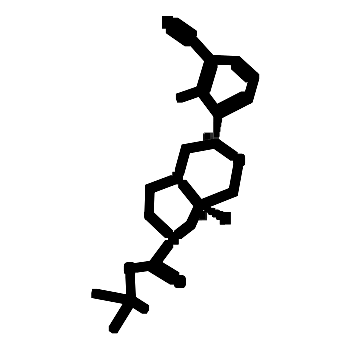 Cc1c(C#N)cccc1[C@H]1CN2CCN(C(=O)OC(C)(C)C)C[C@@H]2CO1